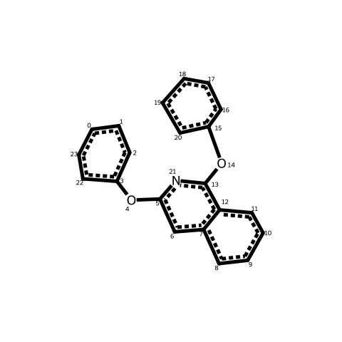 c1ccc(Oc2cc3ccccc3c(Oc3ccccc3)n2)cc1